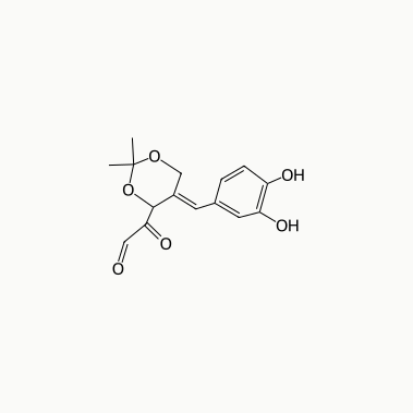 CC1(C)OCC(=Cc2ccc(O)c(O)c2)C(C(=O)C=O)O1